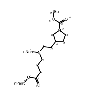 CCCCCCCCCN(CCCC(=O)OCCCCC)CCC1CCN(C(=O)OC(C)(C)C)C1